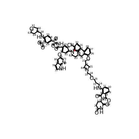 O=C1CCC(N2C(=O)c3cccc(NCCCOCCN4CC(COc5cccc(-c6ccc(Cl)cc6)c5CN5CCN(c6ccc(C(=O)NS(=O)(=O)c7ccc(NCC8CCOCC8)c([N+](=O)[O-])c7)c(Oc7cnc8[nH]ccc8c7)c6)CC5)C4)c3C2=O)C(=O)N1